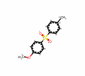 COc1ccc(S(=O)(=O)c2ccc(C)cc2)cc1